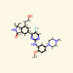 CCOc1ccc(N2CCN(C)CC2)cc1Nc1ncc(F)c(-c2cc(CCO)c3c(c2)C(=O)NC3(C)C)n1